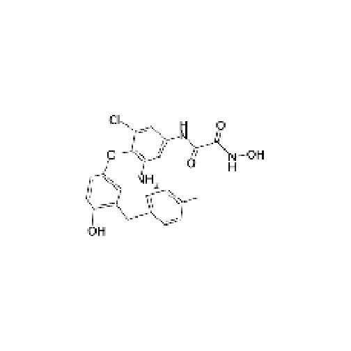 Cc1ccc(Cc2cc(Oc3c(N)cc(NC(=O)C(=O)NO)cc3Cl)ccc2O)cc1